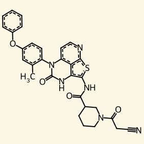 Cc1cc(Oc2ccccc2)ccc1N1C(=O)Nc2c(NC(=O)C3CCCN(C(=O)CC#N)C3)sc3nccc1c23